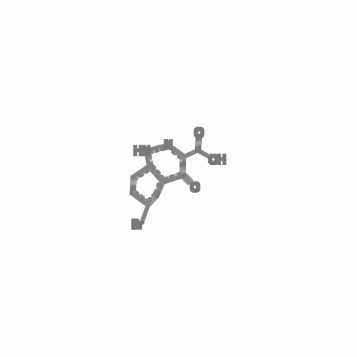 O=C(O)c1n[nH]c2ccc(Br)cc2c1=O